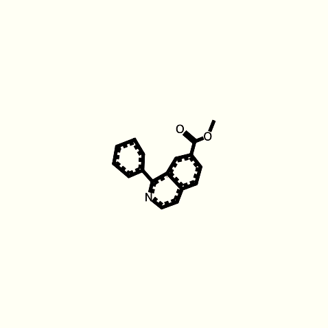 COC(=O)c1ccc2ccnc(-c3ccccc3)c2c1